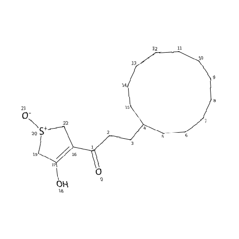 O=C(CCC1CCCCCCCCCCC1)C1=C(O)C[S+]([O-])C1